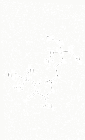 CCO[Si](CCCNCC(C)C(=O)O[Si](C)(C)C)(OCC)OCC